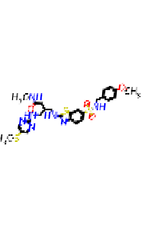 CNC(=O)CC(CNc1ncc(SC)cn1)CNc1nc2ccc(S(=O)(=O)NCc3ccc(OC)cc3)cc2s1